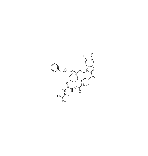 C[C@@H](C(=O)N[C@@H](C(=O)N1CCN(C(=O)c2cc3cc(F)c(F)cc3n2CCOCCOCc2ccccc2)CC1)C1CCCCC1)N(C)C(=O)O